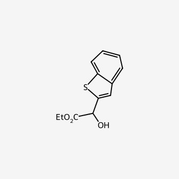 CCOC(=O)C(O)c1cc2ccccc2s1